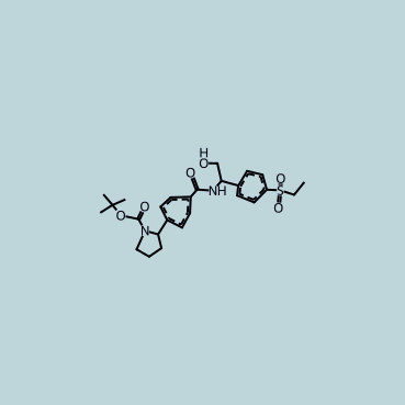 CCS(=O)(=O)c1ccc(C(CO)NC(=O)c2ccc(C3CCCN3C(=O)OC(C)(C)C)cc2)cc1